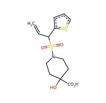 C=CC(c1cccs1)S(=O)(=O)N1CCC(O)(C(=O)O)CC1